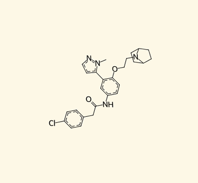 Cn1nccc1-c1cc(NC(=O)Cc2ccc(Cl)cc2)ccc1OCCN1C2CCC1CC2